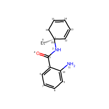 CC[C@@]1(NC(=O)c2ccccc2N)C=CC=CC1